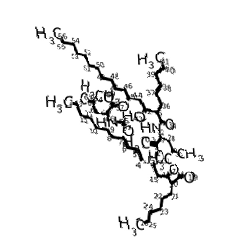 C=C(O[C@@H](CCCCCCCCCCC)CC1OC(=O)[C@H]1CCCCCC)[C@H](CC(C)C)NC(=O)C(CCCCCC)C(O)C[C@H](CCCCCCCCCCC)OC(=O)[C@H](CC(C)C)NC=O